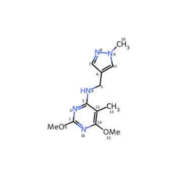 COc1nc(NCc2cnn(C)c2)c(C)c(OC)n1